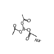 CC(=O)OB(OC(C)=O)OC(C)=O.[Na]